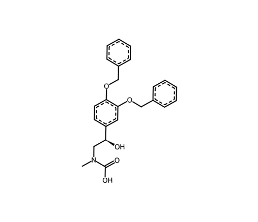 CN(C[C@H](O)c1ccc(OCc2ccccc2)c(OCc2ccccc2)c1)C(=O)O